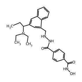 CCC(c1cc(CNNC(=O)c2ccc(C(=O)NO)cc2)c2ccccc2c1)N(CC)CC